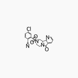 N#Cc1ccc(Cl)cc1S(=O)(=O)N1CCN2C(=O)c3cccnc3C2C1